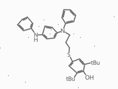 CC(C)(C)c1cc(SCCCN(c2ccccc2)c2ccc(Nc3ccccc3)cc2)cc(C(C)(C)C)c1O